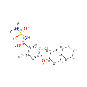 CN(C)S(=O)(=O)NC(=O)c1cc(Cl)c(OC2CCC3(CCCCC3)CC2)cc1F